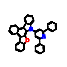 c1ccc(-c2cc(-n3c4ccccc4c4c5ccccc5c5c6ccccc6oc5c43)cc(-c3ccccc3)n2)cc1